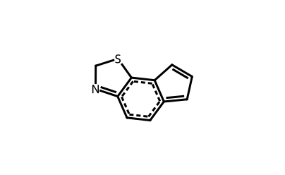 C1=Cc2c3c(ccc2=C1)=NCS3